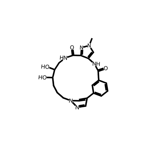 Cn1cc2c(n1)C(=O)NCC(O)C(O)CCCn1cc(cn1)-c1cccc(c1)C(=O)N2